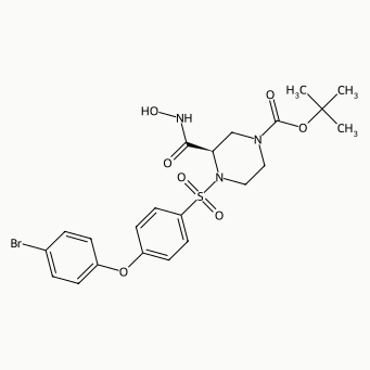 CC(C)(C)OC(=O)N1CCN(S(=O)(=O)c2ccc(Oc3ccc(Br)cc3)cc2)[C@@H](C(=O)NO)C1